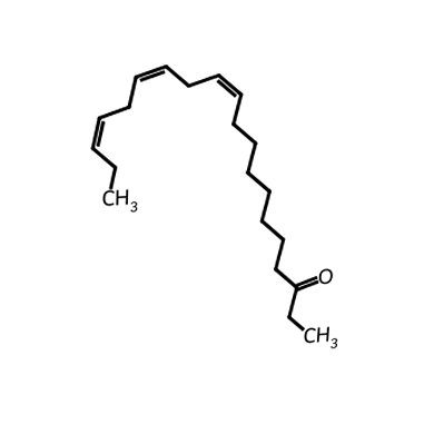 CC/C=C\C/C=C\C/C=C\CCCCCCCC(=O)CC